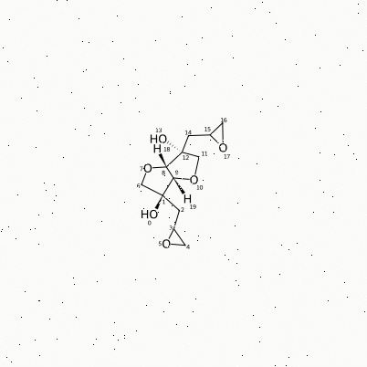 O[C@@]1(CC2CO2)CO[C@H]2[C@@H]1OC[C@]2(O)CC1CO1